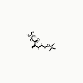 C=C(CCCO[Si](C)(C)C)C(=O)O[Si](C)(C)C